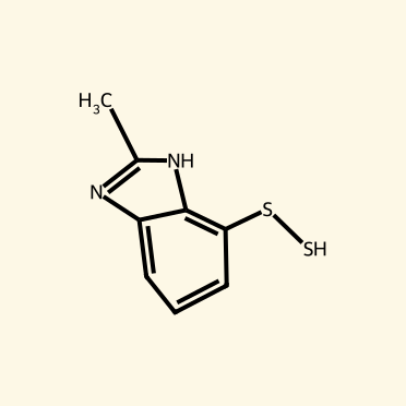 Cc1nc2cccc(SS)c2[nH]1